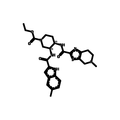 CCOC(=O)N1CC[C@@H](NC(=O)c2nc3c(s2)CN(C)CC3)[C@@H](NC(=O)c2cc3cc(C)ccc3[nH]2)C1